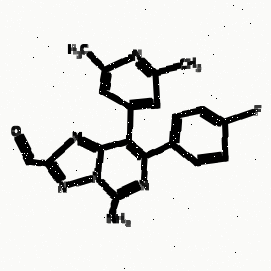 Cc1cc(-c2c(-c3ccc(F)cc3)nc(N)n3nc(C=O)nc23)cc(C)n1